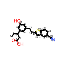 CCC(CC(=O)O)c1cc(O)cc(CCc2cc3cc(C#N)ccc3s2)c1